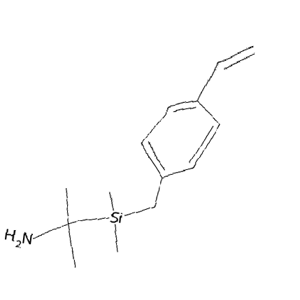 C=Cc1ccc(C[Si](C)(C)C(C)(C)N)cc1